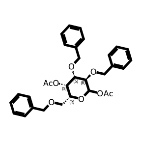 CC(=O)OC1O[C@H](COCc2ccccc2)[C@H](OC(C)=O)[C@H](OCc2ccccc2)[C@H]1OCc1ccccc1